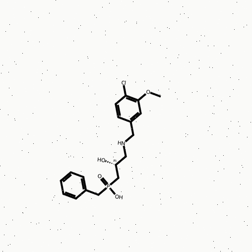 COc1cc(CNC[C@@H](O)CP(=O)(O)Cc2ccccc2)ccc1Cl